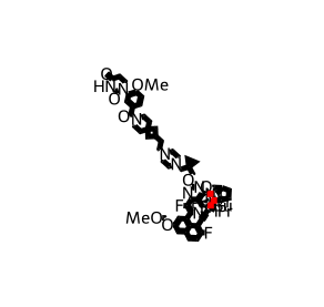 COCOc1cc(-c2ncc3c(N4CC5CCC(C4)N5C(=O)OC(C)(C)C)nc(OCC4(CN5CCN(CCC6CC7(CCN(C(=O)c8ccc(OC)c(N9CCC(=O)NC9=O)c8)CC7)C6)CC5)CC4)nc3c2F)c2c(C#C[Si](C(C)C)(C(C)C)C(C)C)c(F)ccc2c1